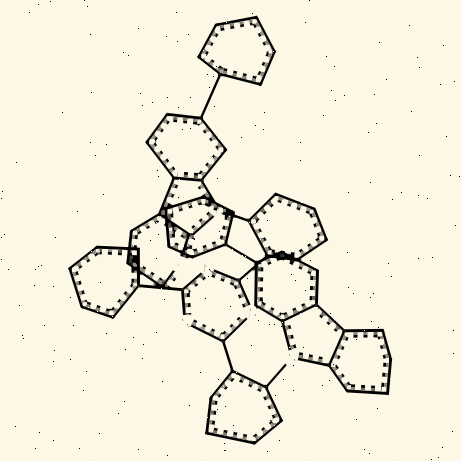 c1ccc(-c2ccc3c4ccccc4n(-c4ccccc4-c4nc(-c5ccccc5)nc(-c5ccccc5-n5c6ccccc6c6ccc(-c7ccccc7)cc65)n4)c3c2)cc1